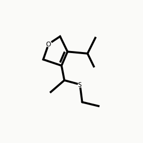 CCSC(C)C1=C(C(C)C)COC1